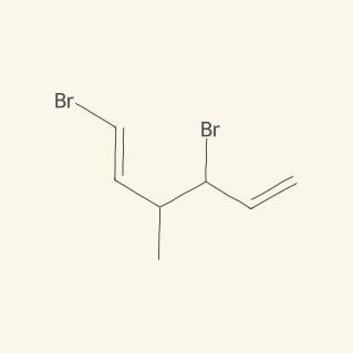 C=CC(Br)C(C)/C=C/Br